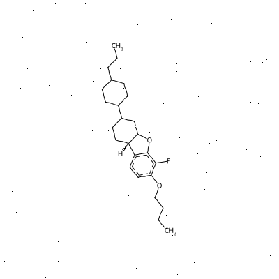 CCCCOc1ccc2c(c1F)OC1CC(C3CCC(CCC)CC3)CC[C@@H]21